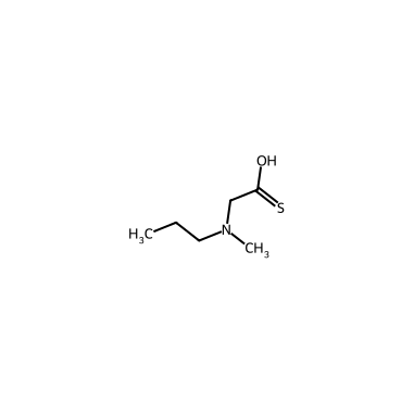 CCCN(C)CC(O)=S